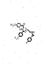 CN1CCN(C(=O)[C@H](COCCNC2C[C@H]2c2ccc(F)cc2)NC(=O)c2ccc(C(F)(F)F)cc2)CC1